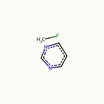 CF.c1cncnc1